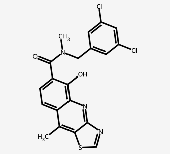 Cc1c2ccc(C(=O)N(C)Cc3cc(Cl)cc(Cl)c3)c(O)c2nc2ncsc12